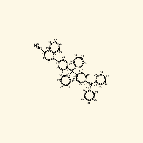 N#Cc1ccc(-c2ccc(C(c3ccccc3)(c3ccccc3)c3ccc(N(c4ccccc4)c4ccccc4)cc3)cc2)c2ccccc12